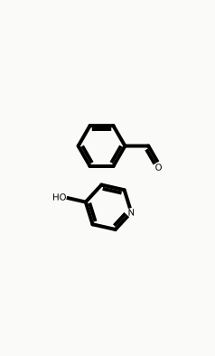 O=Cc1ccccc1.Oc1ccncc1